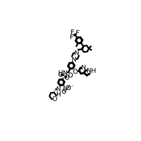 Cc1cc(C(F)(F)F)ccc1C1=C(CN2CCN(c3ccc(C(=O)NS(=O)(=O)c4ccc(NC[C@H]5CCCOC5)c([N+](=O)[O-])c4)c(Oc4cnc5[nH]ccc5c4)c3)CC2)CCC(C)(C)C1